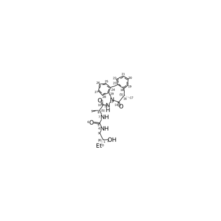 CC[C@@H](O)CNC(=O)N[C@@H](C)C(=O)NN1C(=O)[C@@H](C)c2ccccc2-c2ccccc21